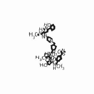 CCNc1nn(C2CCN(CC3CCC(C(=O)N[C@H](C(=O)N4C[C@H](O)C[C@H]4C(=O)N[C@@H](C)c4ccc(-c5scnc5C)cc4)C(C)(C)C)CC3)CC2)c2cc(-c3ccccc3O)nnc12